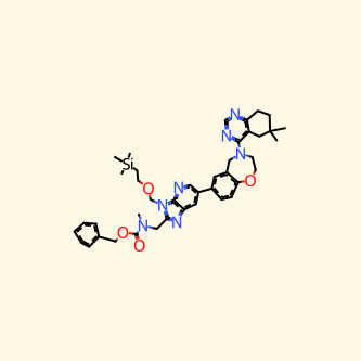 CN(Cc1nc2cc(-c3ccc4c(c3)CN(c3ncnc5c3CC(C)(C)CC5)CCO4)cnc2n1COCC[Si](C)(C)C)C(=O)OCc1ccccc1